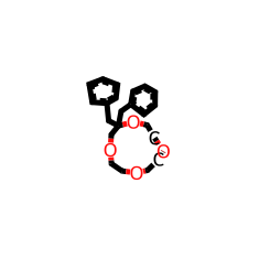 c1ccc(CC2(Cc3ccccc3)COCCOCCOCCO2)cc1